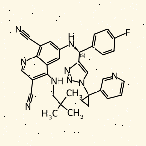 CC(C)(C)CNc1c(C#N)cnc2c(C#N)cc(N[C@@H](c3ccc(F)cc3)c3cn(C4(c5cccnc5)CC4)nn3)cc12